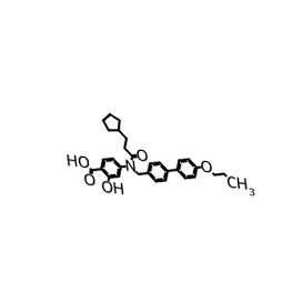 CCCOc1ccc(-c2ccc(CN(C(=O)CCC3CCCC3)c3ccc(C(=O)O)c(O)c3)cc2)cc1